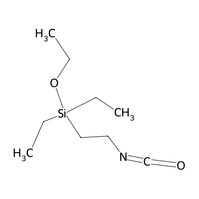 CCO[Si](CC)(CC)CCN=C=O